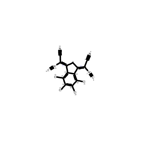 [C-]#[N+]/C(C#N)=C1/C/C(=C(\C#N)[N+]#[C-])c2c(Cl)c(Cl)c(Cl)c(Cl)c21